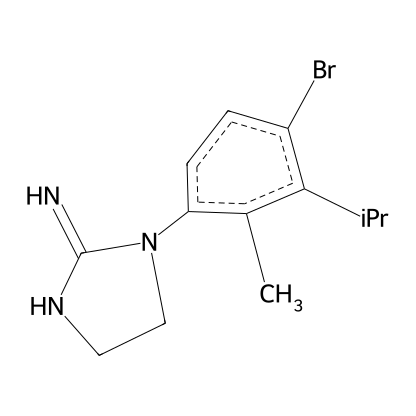 Cc1c(N2CCNC2=N)ccc(Br)c1C(C)C